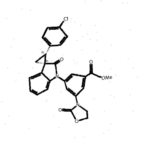 COC(=O)c1cc(N2CCOC2=O)cc(N2C(=O)[C@@]3(C[C@@H]3c3ccc(Cl)cc3)c3ccccc32)c1